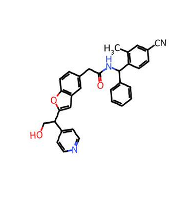 Cc1cc(C#N)ccc1C(NC(=O)Cc1ccc2oc(C(CO)c3ccncc3)cc2c1)c1ccccc1